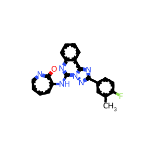 Cc1cc(-c2nc3c4ccccc4nc(Nc4ccccnc4=O)n3n2)ccc1F